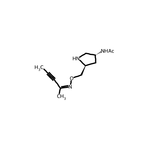 CC#C/C(C)=N\OC[C@@H]1C[C@@H](NC(C)=O)CN1